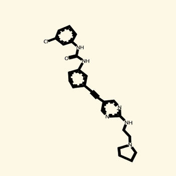 O=C(Nc1cccc(Cl)c1)Nc1cccc(C#Cc2cnc(NCCN3CCCC3)nc2)c1